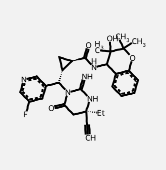 C#C[C@@]1(CC)CC(=O)N(C(c2cncc(F)c2)[C@@H]2C[C@H]2C(=O)NC2c3ccccc3OC(C)(C)C2(C)O)C(=N)N1